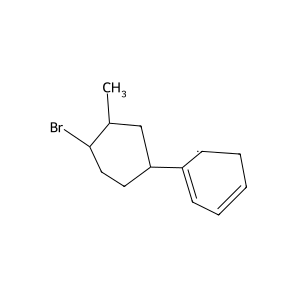 CC1CC(C2=CC=CC[CH]2)CCC1Br